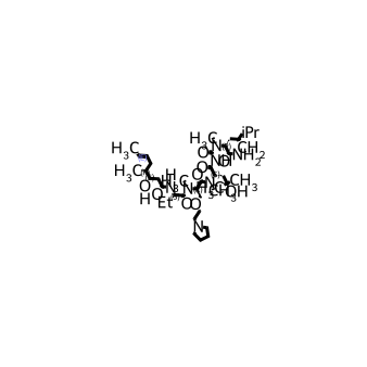 C=C(C[C@H](C(N)=O)N(C)C(=O)NC(=O)[C@H](CC(C)(C)O)N(C)C(=O)[C@@H](COCCN1CCCC1)N(C)C(=O)[C@H](CC)NC(=O)C[C@H](O)[C@H](C)C/C=C/C)C(C)C